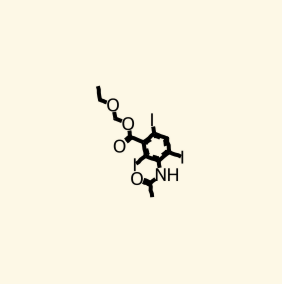 CCOCOC(=O)c1c(I)cc(I)c(NC(C)=O)c1I